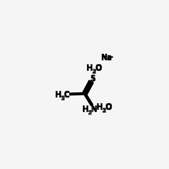 CC(N)=S.O.O.[Na]